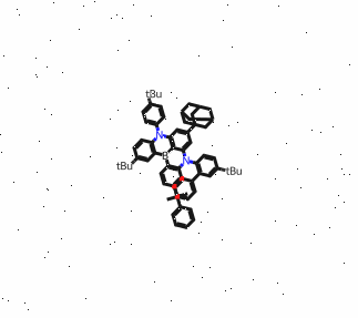 CC(C)(C)c1ccc(N2c3ccc(C(C)(C)C)cc3B3c4ccc(C(C)(C)c5ccccc5)cc4N(c4ccc(C(C)(C)C)cc4-c4ccccc4)c4cc(C56CC7CC(CC(C7)C5)C6)cc2c43)cc1